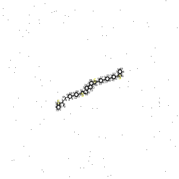 C=C/C(=C\C=C(/C)c1ccc(-c2ccc(-c3cc4c(ccc5c4ccc4c6ccc7sc(-c8ccc(-c9ccc(-c%10ccc(-c%11scc%12ccccc%11%12)cc%10)cc9)cc8)cc7c6ccc54)s3)cc2)cc1)c1scc2ccccc12